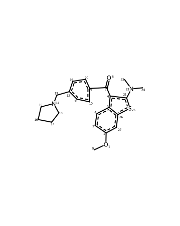 COc1ccc2c(C(=O)c3ccc(CN4CCCC4)cc3)c(N(C)C)sc2c1